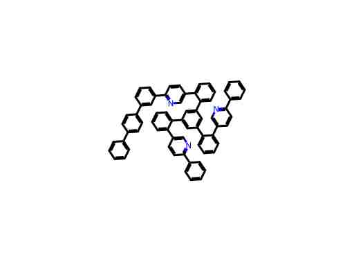 c1ccc(-c2ccc(-c3cccc(-c4ccc(-c5ccccc5-c5cc(-c6ccccc6-c6ccc(-c7ccccc7)nc6)cc(-c6ccccc6-c6ccc(-c7ccccc7)nc6)c5)cn4)c3)cc2)cc1